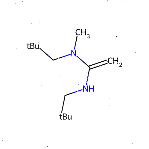 C=C(NCC(C)(C)C)N(C)CC(C)(C)C